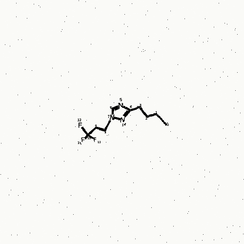 CCCCc1ncn(CCC(F)(F)F)n1